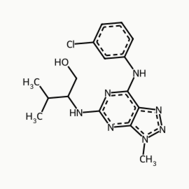 CC(C)C(CO)Nc1nc(Nc2cccc(Cl)c2)c2nnn(C)c2n1